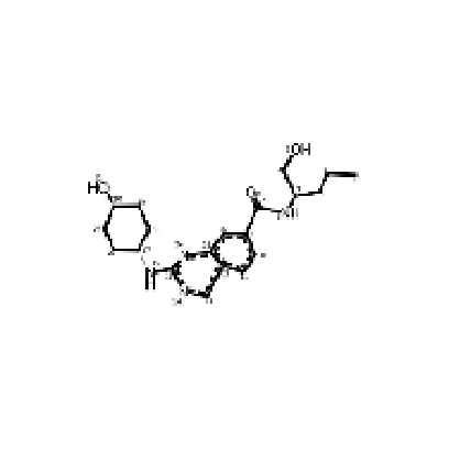 CCCC(CO)NC(=O)c1ccc2cnc(N[C@H]3CC[C@H](O)CC3)nc2c1